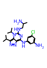 CC(N)CNc1nc(Nc2cc(N)cc(Cl)c2)c2nnc(C(C)C)c-2n1C(C)C